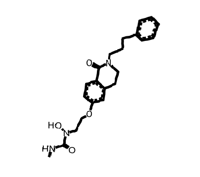 CNC(=O)N(O)CCOc1ccc2c(c1)CCN(CCCc1ccccc1)C2=O